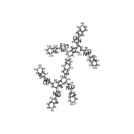 CC/C(=N\C(=O)c1cc(-c2cc3cc4sc(-c5cc(-c6coc(-c7cc8ccccc8s7)n6)c6sc7c(-c8coc(-c9cc%10ccccc%10s9)n8)cc(-c8coc(-c9cc%10ccccc%10s9)n8)cc7c6c5)cc4cc3s2)cc2c1sc1c(-c3coc(-c4cc5ccccc5s4)n3)cc(-c3coc(-c4cc5ccccc5s4)n3)cc12)c1cc2ccccc2s1